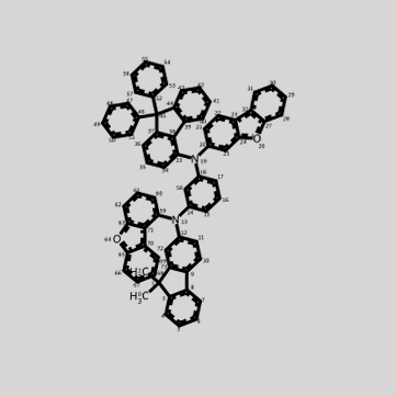 CC1(C)c2ccccc2-c2ccc(N(c3cccc(N(c4ccc5c(c4)oc4ccccc45)c4cccc5c4-c4ccccc4C5(c4ccccc4)c4ccccc4)c3)c3cccc4oc5ccccc5c34)cc21